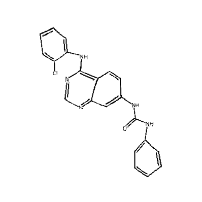 O=C(Nc1ccccc1)Nc1ccc2c(Nc3ccccc3Cl)ncnc2c1